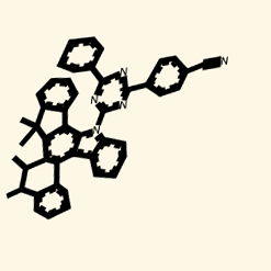 CC1c2ccccc2-c2c(c3c(c4c2c2ccccc2n4-c2nc(-c4ccccc4)nc(-c4ccc(C#N)cc4)n2)-c2ccccc2C3(C)C)C1C